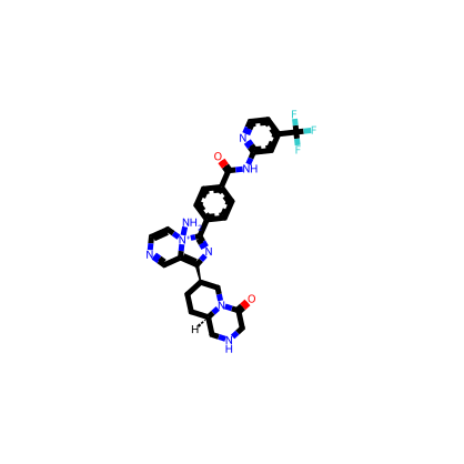 N[N+]12C=CN=CC1=C([C@@H]1CC[C@@H]3CNCC(=O)N3C1)N=C2c1ccc(C(=O)Nc2cc(C(F)(F)F)ccn2)cc1